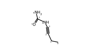 CCC#CNC(N)=O